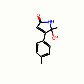 Cc1ccc(C2=CC(=O)NC2(C)O)cc1